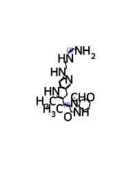 CC1=C(/C(C)=C2/C(=O)NC3(CCCCC3)N2C=O)Cc2cnc(NCCN/C=C\N)cc2N1